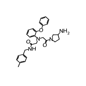 Cc1ccc(CNC(=O)CN(CC(=O)N2CCC(N)C2)c2ccccc2Oc2ccccc2)cc1